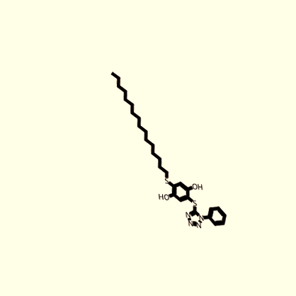 CCCCCCCCCCCCCCCCSc1cc(O)c(Sc2nnnn2-c2ccccc2)cc1O